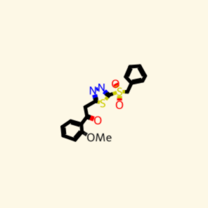 COc1ccccc1C(=O)Cc1nnc(S(=O)(=O)Cc2ccccc2)s1